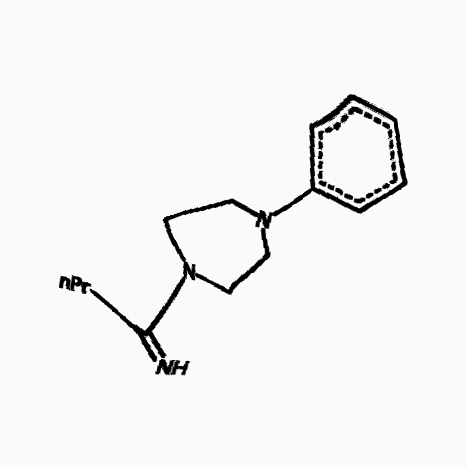 CCCC(=N)N1CCN(c2ccccc2)CC1